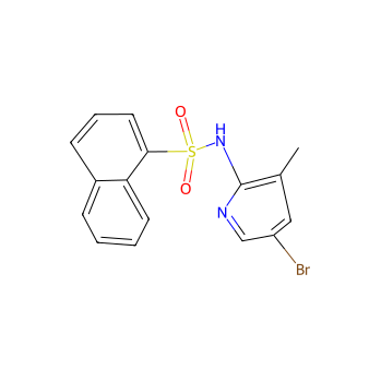 Cc1cc(Br)cnc1NS(=O)(=O)c1cccc2ccccc12